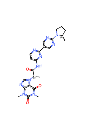 C[C@@H]1CCCN1c1ncc(-c2nccc(NC(=O)[C@H](C)n3cnc4c3c(=O)n(C)c(=O)n4C)n2)cn1